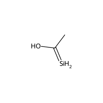 CC(O)=[SiH2]